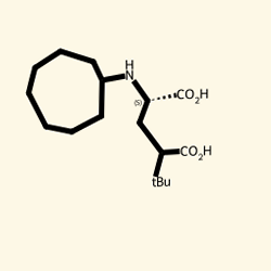 CC(C)(C)C(C[C@H](NC1CCCCCCC1)C(=O)O)C(=O)O